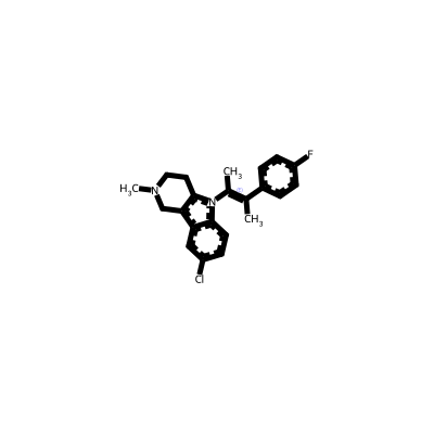 C/C(=C(/C)n1c2c(c3cc(Cl)ccc31)CN(C)CC2)c1ccc(F)cc1